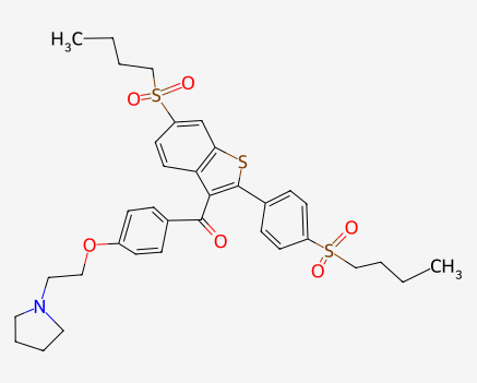 CCCCS(=O)(=O)c1ccc(-c2sc3cc(S(=O)(=O)CCCC)ccc3c2C(=O)c2ccc(OCCN3CCCC3)cc2)cc1